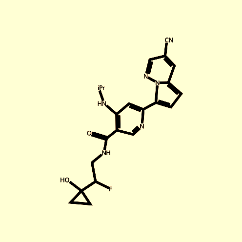 CC(C)Nc1cc(-c2ccc3cc(C#N)cnn23)ncc1C(=O)NCC(F)C1(O)CC1